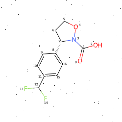 O=C(O)N1OCC[C@H]1c1ccc(C(F)F)cc1